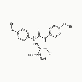 CCOc1ccc(NC(=S)Nc2ccc(OCC)cc2)cc1.N=C(CCl)NO.[NaH]